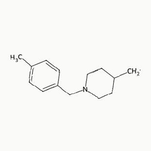 [CH2]C1CCN(Cc2ccc(C)cc2)CC1